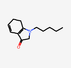 CCCCCN1CC(=O)C2=C1CCC=C2